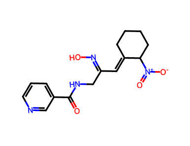 O=C(NCC(C=C1CCCCC1[N+](=O)[O-])=NO)c1cccnc1